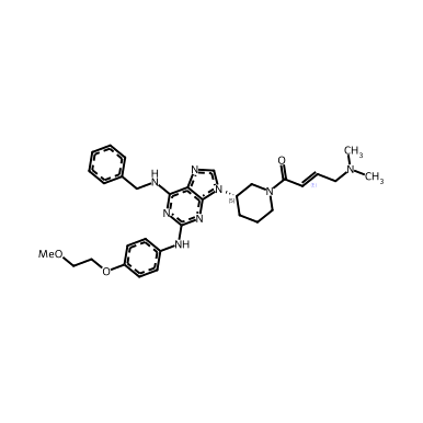 COCCOc1ccc(Nc2nc(NCc3ccccc3)c3ncn([C@H]4CCCN(C(=O)/C=C/CN(C)C)C4)c3n2)cc1